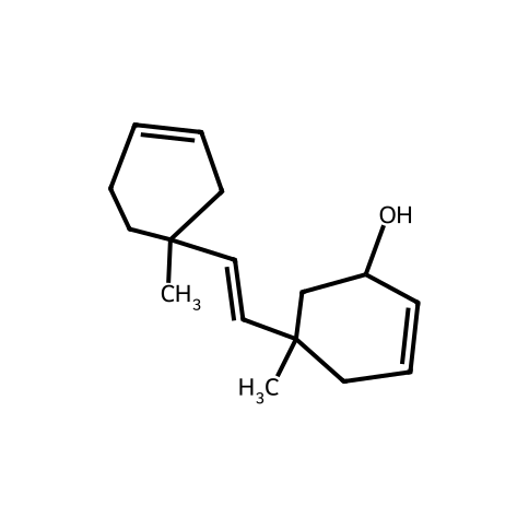 CC1(C=CC2(C)CC=CC(O)C2)CC=CCC1